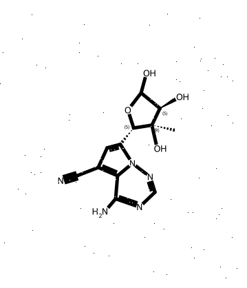 C[C@@]1(O)[C@H](O)C(O)O[C@H]1c1cc(C#N)c2c(N)ncnn12